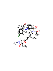 C=NC(=O)C(C)(C)OC/C=C/[C@@H](OC)[C@@H]1CC[C@H]1CN1C[C@@]2(CCCc3cc(Cl)ccc32)COc2ccc([S+]([O-])NC(=O)C(C)C)cc21